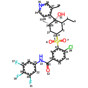 CCC1C[C@@H](S(=O)(=O)c2cc(C(=O)Nc3cc(F)c(F)c(F)c3)ccc2Cl)C[C@H](C)[C@@]1(O)c1ccncc1C